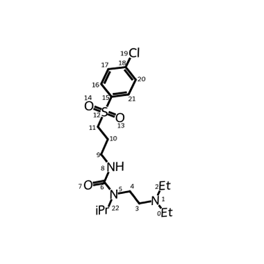 CCN(CC)CCN(C(=O)NCCCS(=O)(=O)c1ccc(Cl)cc1)C(C)C